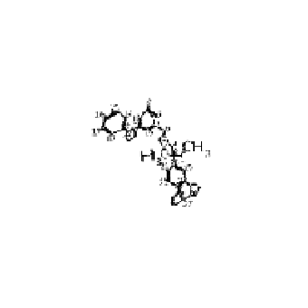 CCC(C)(COCc1cccc(Oc2ccccc2)c1)c1ccc2c(c1)OCO2